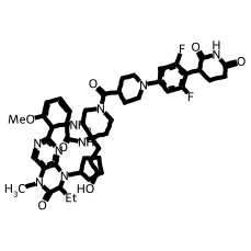 CCC1C(=O)N(C)c2cnc(C3C(OC)=CC=CC3(N)C(=O)NC3(CCCO)CCN(C(=O)C4CCN(c5cc(F)c(C6CCC(=O)NC6=O)c(F)c5)CC4)CC3)nc2N1C1CCCC1